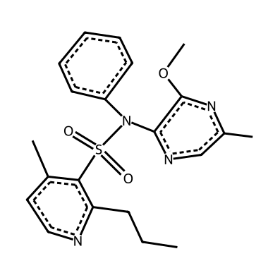 CCCc1nccc(C)c1S(=O)(=O)N(c1ccccc1)c1ncc(C)nc1OC